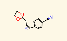 N#Cc1ccc(/C=C\CC2OCCO2)cc1